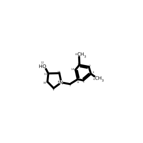 Cc1cc(C)cc(CN2CCC(O)C2)c1